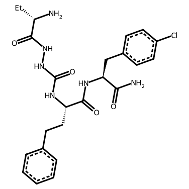 CC[C@H](N)C(=O)NNC(=O)N[C@@H](CCc1ccccc1)C(=O)N[C@@H](Cc1ccc(Cl)cc1)C(N)=O